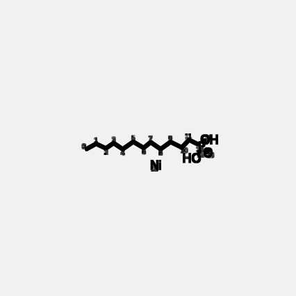 CCCCCCCCCCCCP(=O)(O)O.[Ni]